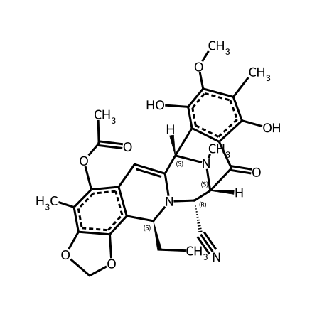 CC[C@H]1c2c(c(OC(C)=O)c(C)c3c2OCO3)C=C2[C@@H]3c4c(O)c(OC)c(C)c(O)c4C(=O)[C@H]([C@H](C#N)N21)N3C